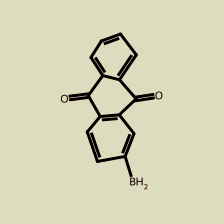 Bc1ccc2c(c1)C(=O)c1ccccc1C2=O